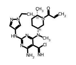 C=CC(=O)N1C[C@H](N(C)c2nc(Nc3cnn(CC)c3)nc(N)c2C(=N)Cl)CC[C@@H]1C